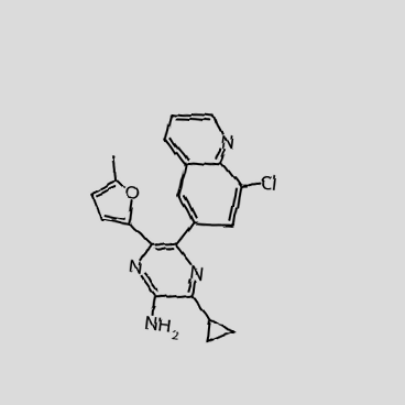 Cc1ccc(-c2nc(N)c(C3CC3)nc2-c2cc(Cl)c3ncccc3c2)o1